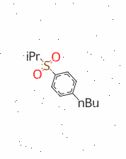 CCCCc1ccc(S(=O)(=O)C(C)C)cc1